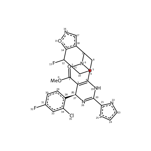 COC(=O)C1=C(CN2C3COCC2C(F)c2oncc23)NC(c2nccs2)=N[C@H]1c1ccc(F)cc1Cl